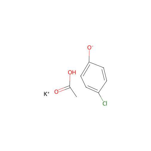 CC(=O)O.[K+].[O-]c1ccc(Cl)cc1